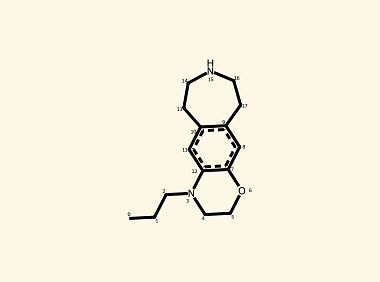 CCCN1CCOc2cc3c(cc21)CCNCC3